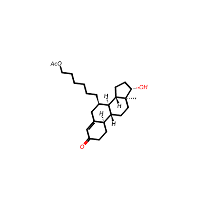 CC(=O)OCCCCCC[C@@H]1CC2=CC(=O)CC[C@@H]2[C@H]2CC[C@]3(C)[C@@H](O)CC[C@H]3[C@H]12